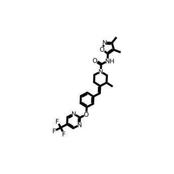 Cc1noc(NC(=O)N2CC/C(=C\c3cccc(Oc4ncc(C(F)(F)F)cn4)c3)C(C)C2)c1C